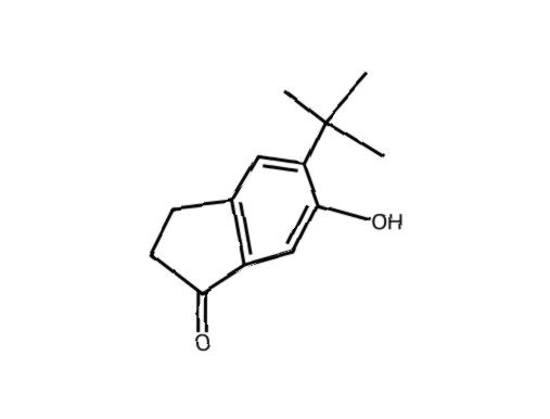 CC(C)(C)c1cc2c(cc1O)C(=O)CC2